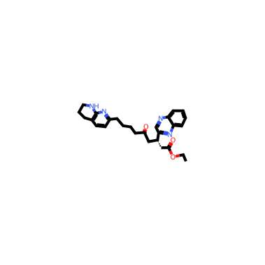 CCOC(=O)C[C@H](CC(=O)CCCCc1ccc2c(n1)NCCC2)c1cnc2ccccc2n1